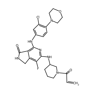 C=CC(=O)N1CCCC(Nc2nc(Nc3ccc(N4CCOCC4)c(Cl)c3)c3c(c2F)CNC3=O)C1